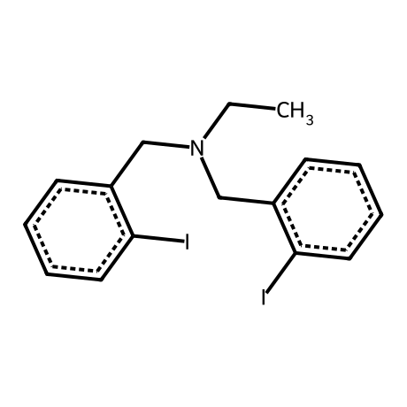 CCN(Cc1ccccc1I)Cc1ccccc1I